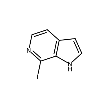 Ic1nccc2cc[nH]c12